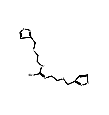 CSC(=NCCSCc1ccsn1)NCCSCc1ccsn1